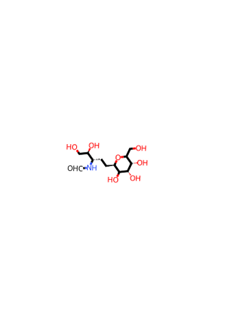 O=CN[C@@H](CC[C@H]1OC(CO)[C@H](O)[C@H](O)C1O)[C@H](O)CO